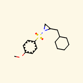 COc1ccc(S(=O)(=O)N2CC2CC2CCCCC2)cc1